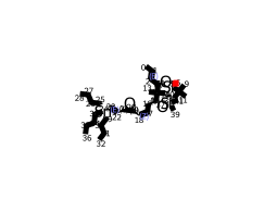 C/C=C/[C@H](O[Si](C)(C)C(C)(C)C)C(C)(C)[C@H](C/C=C\[C@H]1O[C@H]1/C=[CH]/[Sn]([CH2]CCC)([CH2]CCC)[CH2]CCC)O[Si](C)(C)C